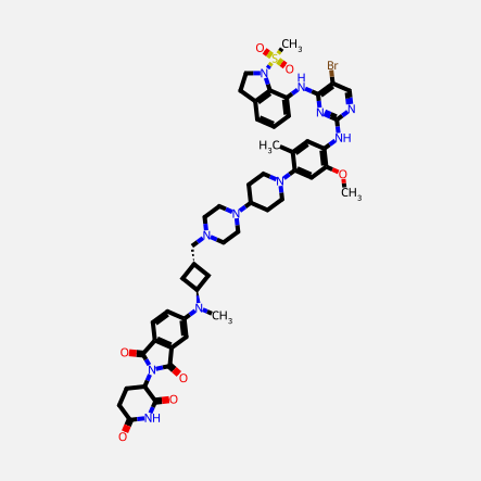 COc1cc(N2CCC(N3CCN(C[C@H]4C[C@H](N(C)c5ccc6c(c5)C(=O)N(C5CCC(=O)NC5=O)C6=O)C4)CC3)CC2)c(C)cc1Nc1ncc(Br)c(Nc2cccc3c2N(S(C)(=O)=O)CC3)n1